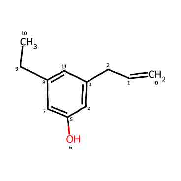 C=CCc1cc(O)cc(CC)c1